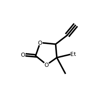 C#CC1OC(=O)OC1(C)CC